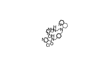 O=C(NCc1ccc(CN(CCNCc2ncc[nH]2)C2CCCc3cccnc32)cc1)c1c(Cl)cncc1Cl